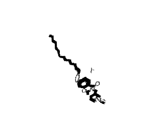 CCCCCCCCCCCCCCOc1ccc(C(=O)N(Cc2ccc[n+](C)c2)C(C)=O)cc1.[I-]